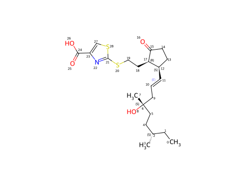 CC[C@H](C)CC[C@](C)(O)C/C=C/[C@@H]1CCC(=O)[C@@H]1CCSc1nc(C(=O)O)cs1